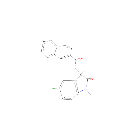 CCCN1C(=O)C(O)(CC(=O)c2ccc3ccccc3c2)c2cc(Cl)ccc21